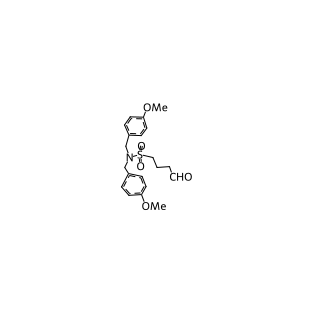 COc1ccc(CN(Cc2ccc(OC)cc2)S(=O)(=O)CCCC=O)cc1